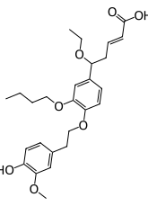 CCCCOc1cc(C(CC=CC(=O)O)OCC)ccc1OCCc1ccc(O)c(OC)c1